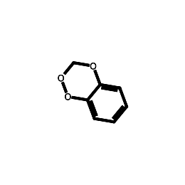 c1ccc2c(c1)OCOO2